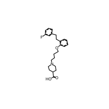 O=C(O)C1CCN(CCCCOc2ccccc2CCc2cccc(F)c2)CC1